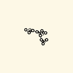 c1ccc(-c2cccc3c2oc2ccc(-c4ccc(N(c5ccc(-c6ccc7c8ccccc8n(-c8ccccc8)c7c6)cc5)c5cccc6c5sc5ccccc56)cc4)cc23)cc1